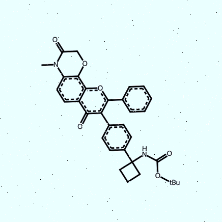 CN1C(=O)COc2c1ccc1c(=O)c(-c3ccc(C4(NC(=O)OC(C)(C)C)CCC4)cc3)c(-c3ccccc3)oc21